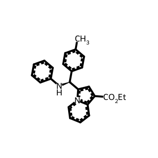 CCOC(=O)c1cc([C@@H](Nc2ccccc2)c2ccc(C)cc2)n2ccccc12